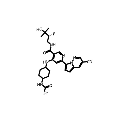 CC(C)C(=O)NC1CCC(Nc2cc(-c3ccc4cc(C#N)cnn34)ncc2C(=O)NC[C@@H](F)C(C)(C)O)CC1